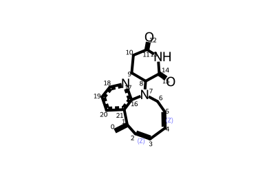 C=C1/C=C\C=C/CN(C2CCC(=O)NC2=O)c2ncccc21